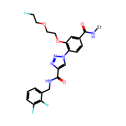 CCNC(=O)c1ccc(-n2cc(C(=O)NCc3cccc(F)c3F)nn2)c(OCCOCCF)c1